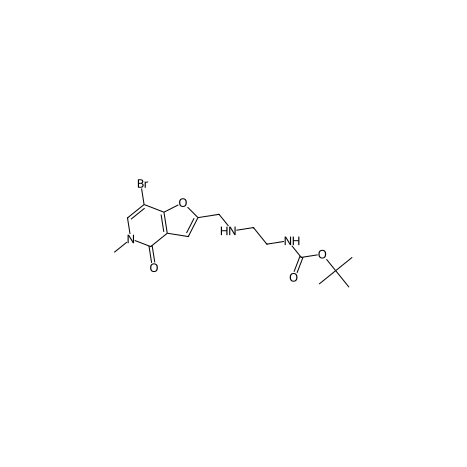 Cn1cc(Br)c2oc(CNCCNC(=O)OC(C)(C)C)cc2c1=O